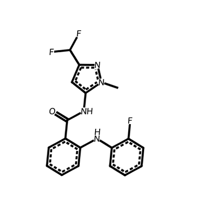 Cn1nc(C(F)F)cc1NC(=O)c1ccccc1Nc1ccccc1F